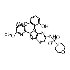 CCOC1=NC(c2nc3ncc(NS(=O)(=O)N4CCOCC4)nc3n2-c2c(O)cccc2OC)=C=C=C1